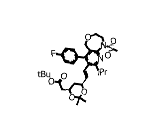 CC(C)c1nc2c(c(-c3ccc(F)cc3)c1/C=C/[C@@H]1C[C@H](CC(=O)OC(C)(C)C)OC(C)(C)O1)COCCN2S(C)(=O)=O